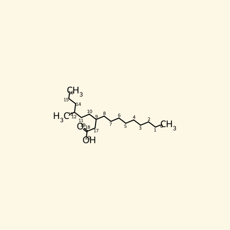 CCCCCCCCCC(CCC(C)CCC)CC(=O)O